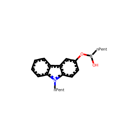 CCCCCB(O)Oc1ccc2c(c1)c1ccccc1n2CCCCC